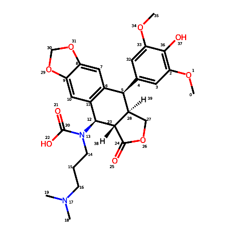 COc1cc([C@@H]2c3cc4c(cc3[C@H](N(CCCN(C)C)C(=O)O)[C@H]3C(=O)OC[C@H]23)OCO4)cc(OC)c1O